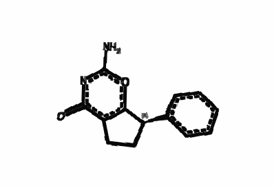 Nc1nc(=O)c2c(o1)[C@@H](c1ccccc1)CC2